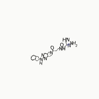 N=C/C(CC(=O)NCCC(=O)N1CCc2nc(NC3Cc4ccccc4C3)ncc2C1)=N\N